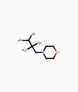 CCCC(CCC)C(C)(C)CN1CCOCC1